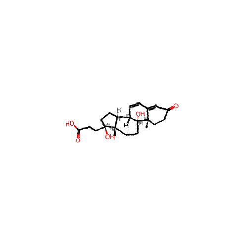 C[C@]12CCC(=O)C=C1C=C[C@H]1[C@@H]3CC[C@@](O)(CCC(=O)O)[C@@]3(C)CC[C@@]12O